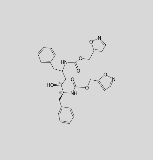 O=C(NC(Cc1ccccc1)C[C@H](O)[C@H](Cc1ccccc1)NC(=O)OCc1ccno1)OCc1ccno1